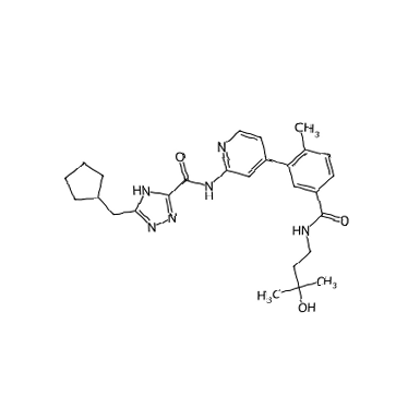 Cc1ccc(C(=O)NCCC(C)(C)O)cc1-c1ccnc(NC(=O)c2nnc(CC3CCCC3)[nH]2)c1